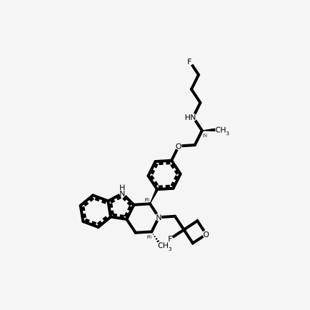 C[C@@H]1Cc2c([nH]c3ccccc23)[C@@H](c2ccc(OC[C@H](C)NCCCF)cc2)N1CC1(F)COC1